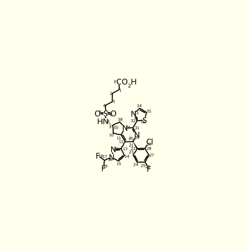 O=C(O)CCCCS(=O)(=O)N[C@H]1CC2=C(c3ccn(C(F)F)n3)[C@H](c3ccc(F)cc3Cl)N=C(c3nccs3)N2C1